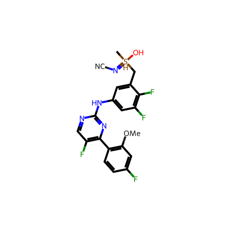 COc1cc(F)ccc1-c1nc(Nc2cc(F)c(F)c(C[SH](C)(O)=NC#N)c2)ncc1F